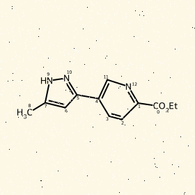 CCOC(=O)c1ccc(-c2cc(C)[nH]n2)cn1